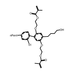 C=C(C)C(=O)OCCOc1cc(-c2ccc(CCCCC)cc2CC)c(OCCOC(=O)C(=C)C)cc1CCCCO